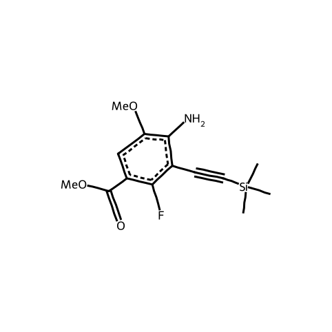 COC(=O)c1cc(OC)c(N)c(C#C[Si](C)(C)C)c1F